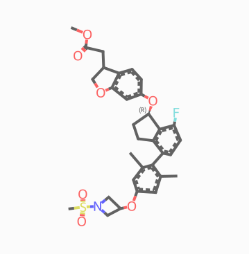 COC(=O)CC1COc2cc(O[C@@H]3CCc4c(-c5c(C)cc(OC6CN(S(C)(=O)=O)C6)cc5C)ccc(F)c43)ccc21